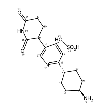 N[C@H]1CC[C@H](c2ccc(C3CCC(=O)NC3=O)cn2)CC1.O=S(=O)(O)O